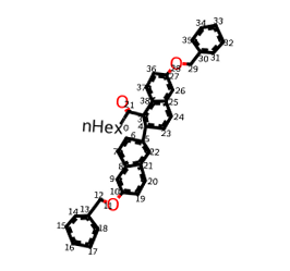 CCCCCCC(=O)c1c(-c2ccc3cc(OCc4ccccc4)ccc3c2)ccc2cc(OCc3ccccc3)ccc12